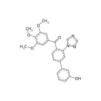 COc1cc(C(=O)c2ccc(-c3cccc(O)c3)cc2-n2cncn2)cc(OC)c1OC